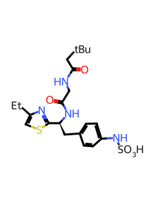 CCc1csc([C@H](Cc2ccc(NS(=O)(=O)O)cc2)NC(=O)CNC(=O)CC(C)(C)C)n1